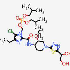 CCc1nc(C(=O)N[C@@H]2CCN(c3nnc([C@@H](O)CO)s3)C[C@@H]2OC)n(COP(=O)(OCC(C)C)OCC(C)C)c1Cl